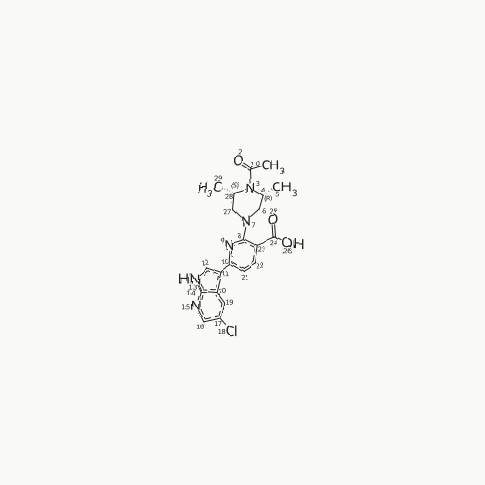 CC(=O)N1[C@H](C)CN(c2nc(-c3c[nH]c4ncc(Cl)cc34)ccc2C(=O)O)C[C@@H]1C